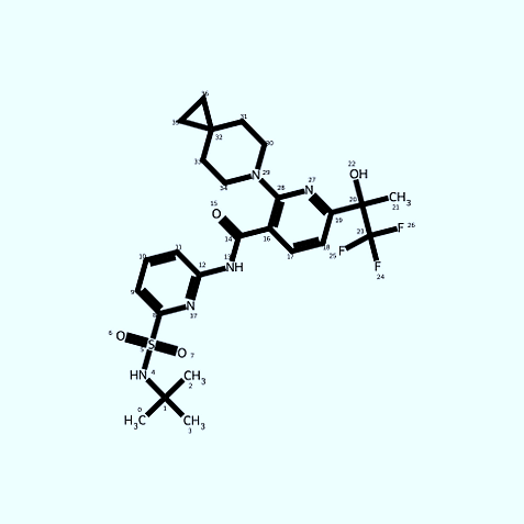 CC(C)(C)NS(=O)(=O)c1cccc(NC(=O)c2ccc(C(C)(O)C(F)(F)F)nc2N2CCC3(CC2)CC3)n1